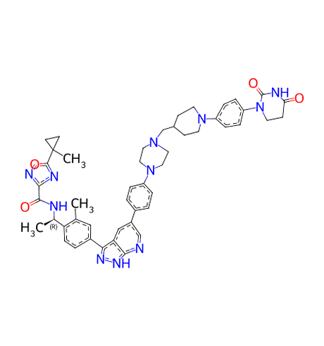 Cc1cc(-c2n[nH]c3ncc(-c4ccc(N5CCN(CC6CCN(c7ccc(N8CCC(=O)NC8=O)cc7)CC6)CC5)cc4)cc23)ccc1[C@@H](C)NC(=O)c1noc(C2(C)CC2)n1